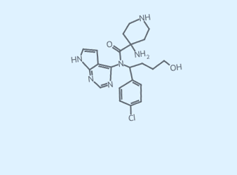 NC1(C(=O)N(c2ncnc3[nH]ccc23)C(CCCO)c2ccc(Cl)cc2)CCNCC1